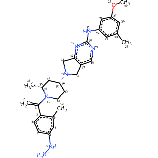 C=C(c1ccc(NN)cc1C)N1CC[C@@H](N2Cc3cnc(Nc4cc(C)cc(OC)c4)nc3C2)C[C@H]1C